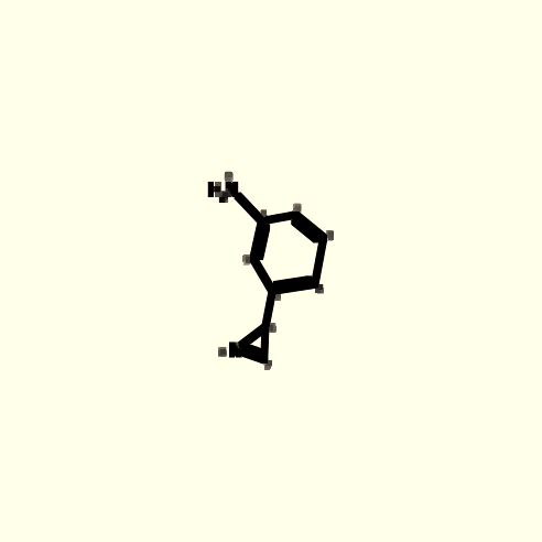 Nc1cccc(C2C=N2)c1